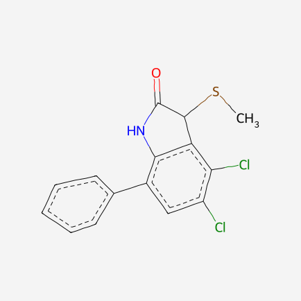 CSC1C(=O)Nc2c(-c3ccccc3)cc(Cl)c(Cl)c21